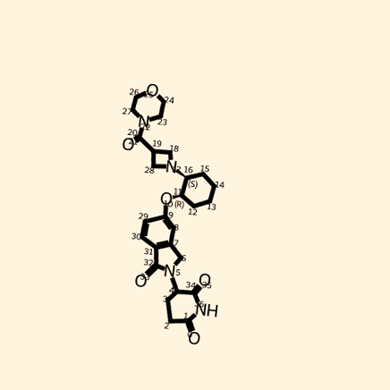 O=C1CCC(N2Cc3cc(O[C@@H]4CCCC[C@@H]4N4CC(C(=O)N5CCOCC5)C4)ccc3C2=O)C(=O)N1